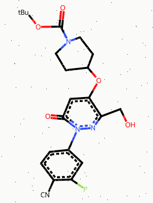 [C-]#[N+]c1ccc(-n2nc(CO)c(OC3CCN(C(=O)OC(C)(C)C)CC3)cc2=O)cc1F